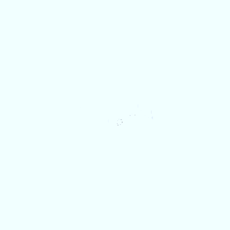 CCCCCCCCCCCCCCCCCC(=O)OC[C@@H](O)[C@H]1OC[C@H](O)[C@H]1O.Cc1ccccc1